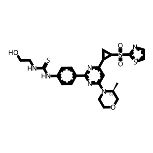 C[C@H]1COCCN1c1cc(C2CC2S(=O)(=O)c2nccs2)nc(-c2ccc(NC(=S)NCCO)cc2)n1